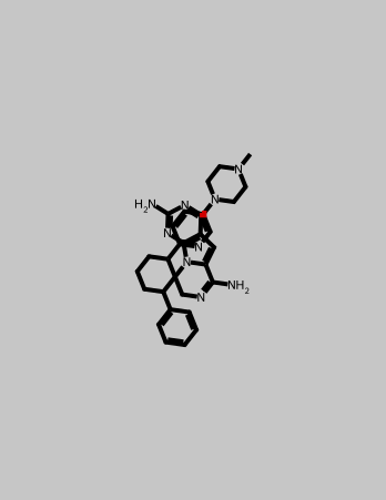 CN1CCN(c2ccc(C3CCCC(c4ccccc4)C34CN=C(N)c3cc5cnc(N)nc5n34)nc2)CC1